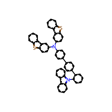 c1ccc(-n2c3ccccc3c3ccccc32)c(-c2ccc(-c3ccc(N(c4ccc5sc6ccccc6c5c4)c4ccc5sc6ccccc6c5c4)cc3)cc2)c1